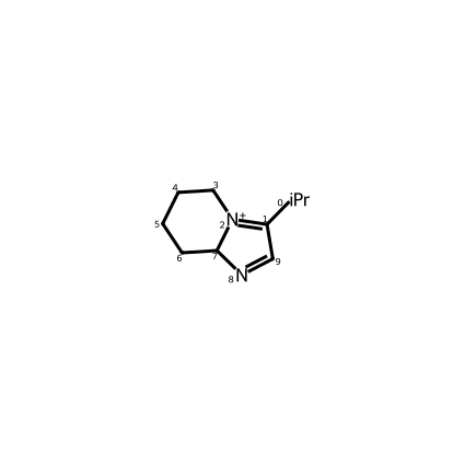 CC(C)C1=[N+]2CCCCC2N=C1